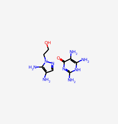 Nc1cnn(CCO)c1N.Nc1nc(=O)c(N)c(N)[nH]1